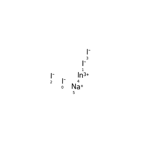 [I-].[I-].[I-].[I-].[In+3].[Na+]